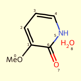 COc1ccc[nH]c1=O.O